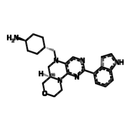 N[C@H]1CC[C@H](CN2C[C@@H]3COCCN3c3nc(-c4cccc5[nH]ccc45)ncc32)CC1